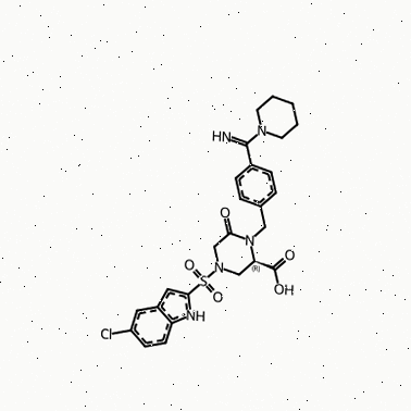 N=C(c1ccc(CN2C(=O)CN(S(=O)(=O)c3cc4cc(Cl)ccc4[nH]3)C[C@@H]2C(=O)O)cc1)N1CCCCC1